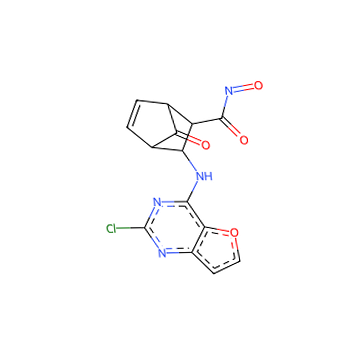 O=NC(=O)C1C2C=CC(C2=O)C1Nc1nc(Cl)nc2ccoc12